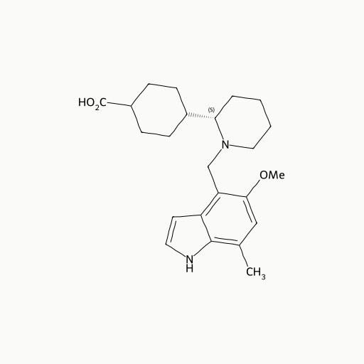 COc1cc(C)c2[nH]ccc2c1CN1CCCC[C@H]1C1CCC(C(=O)O)CC1